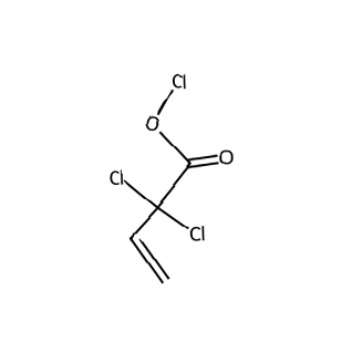 C=CC(Cl)(Cl)C(=O)OCl